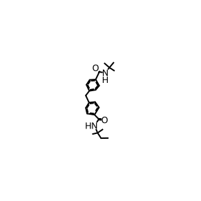 CCC(C)(C)NC(=O)c1ccc(Cc2ccc(C(=O)NC(C)(C)C)cc2)cc1